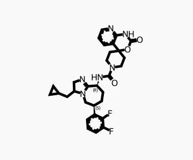 O=C1Nc2ncccc2C2(CCN(C(=O)N[C@@H]3CC[C@@H](c4cccc(F)c4F)CN4C3=NCC4CC3CC3)CC2)O1